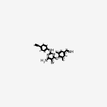 C#Cc1ccc(Nc2nc(N)c(Br)c(Oc3c(C)cc(C=N)cc3C)n2)cc1